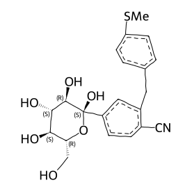 CSc1ccc(Cc2cc([C@]3(O)O[C@H](CO)[C@@H](O)[C@H](O)[C@H]3O)ccc2C#N)cc1